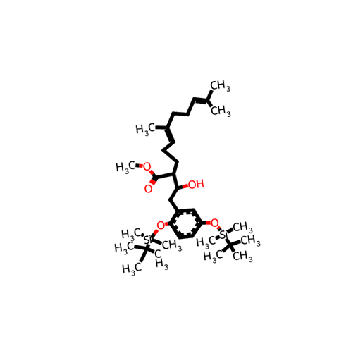 COC(=O)C(CC/C=C(\C)CCC=C(C)C)C(O)Cc1cc(O[Si](C)(C)C(C)(C)C)ccc1O[Si](C)(C)C(C)(C)C